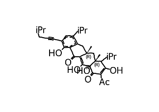 CC(=O)C1=C(O)C(C(C)C)[C@@]2(C)C[C@@]3(C)Cc4c(C(C)C)cc(C#CCC(C)C)c(O)c4C(=O)C3=C(O)[C@@]2(O)C1=O